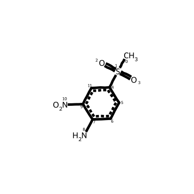 CS(=O)(=O)c1ccc(N)c([N+](=O)[O-])c1